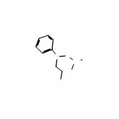 C[SiH](C)ON(CCC(C)(C)C)c1ccccc1